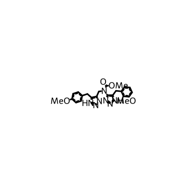 COC(=O)N(Cc1nn[nH]c1Cc1ccc(OC)cc1)c1nn[nH]c1Cc1ccccc1OC